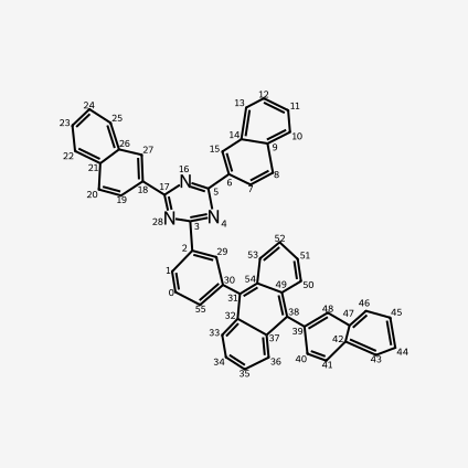 c1cc(-c2nc(-c3ccc4ccccc4c3)nc(-c3ccc4ccccc4c3)n2)cc(-c2c3ccccc3c(-c3ccc4ccccc4c3)c3ccccc23)c1